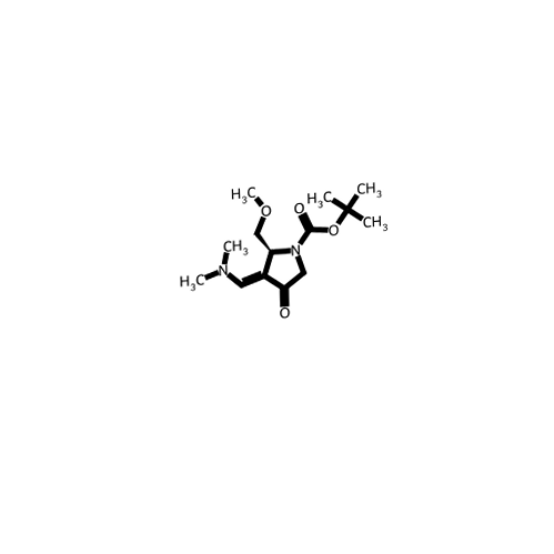 COC[C@@H]1/C(=C\N(C)C)C(=O)CN1C(=O)OC(C)(C)C